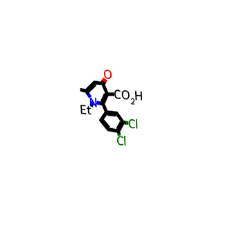 CCn1c(C)cc(=O)c(C(=O)O)c1-c1ccc(Cl)c(Cl)c1